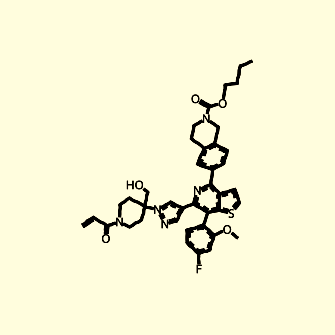 C=CC(=O)N1CCC(CO)(n2cc(-c3nc(-c4ccc5c(c4)CCN(C(=O)OCCCC)C5)c4ccsc4c3-c3ccc(F)cc3OC)cn2)CC1